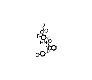 CCCC(=O)Oc1cc(Cl)c(NC(=O)c2nn(Cc3ccc(OC)cc3)c3ccccc23)cc1F